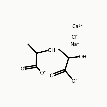 CC(O)C(=O)[O-].CC(O)C(=O)[O-].[Ca+2].[Cl-].[Na+]